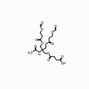 CC(=O)NC(COC(=O)CCOC=O)(COC(=O)CCOC=O)COC(=O)CCC(=O)O